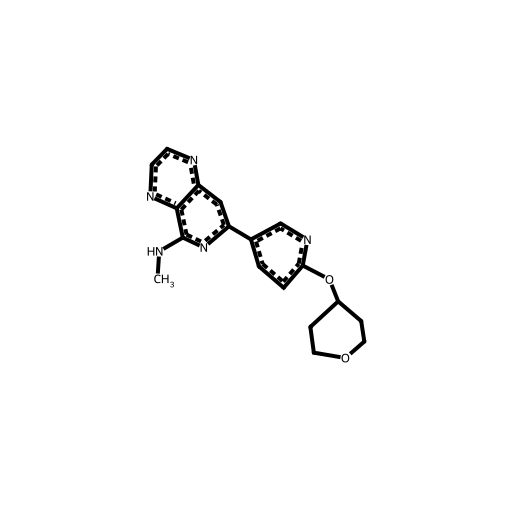 CNc1nc(-c2ccc(OC3CCOCC3)nc2)cc2nccnc12